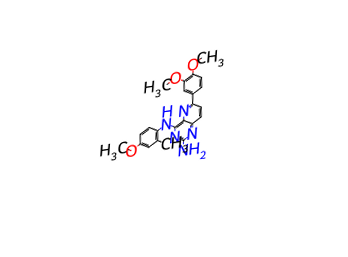 COc1ccc(Nc2nc(N)nc3ccc(-c4ccc(OC)c(OC)c4)nc23)c(C)c1